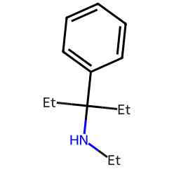 [CH2]CNC(CC)(CC)c1ccccc1